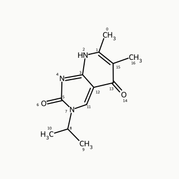 Cc1[nH]c2nc(=O)n(C(C)C)cc2c(=O)c1C